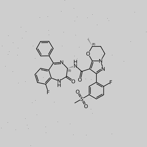 C[C@@H]1CCn2nc(-c3cc(S(C)(=O)=O)ccc3F)c(C(=O)N[C@H]3N=C(c4ccccc4)c4cccc(F)c4NC3=O)c2O1